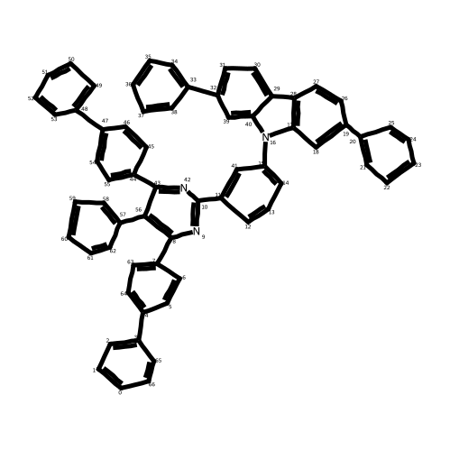 c1ccc(-c2ccc(-c3nc(-c4cccc(-n5c6cc(-c7ccccc7)ccc6c6ccc(-c7ccccc7)cc65)c4)nc(-c4ccc(-c5ccccc5)cc4)c3-c3ccccc3)cc2)cc1